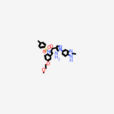 COCCOc1ccc2c(c1)cc(C(=O)c1cnn(-c3ccc4[nH]c(C)nc4c3)c1N)n2S(=O)(=O)c1ccc(C)cc1